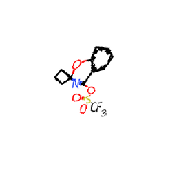 O=S(=O)(OC1=NC2(CCC2)Oc2ccccc21)C(F)(F)F